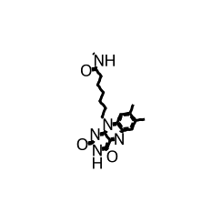 CNC(=O)CCCCCCn1c2nc(=O)[nH]c(=O)c-2nc2cc(C)c(C)cc21